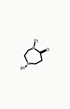 CCN1CCN(C(C)C)CCC1=O